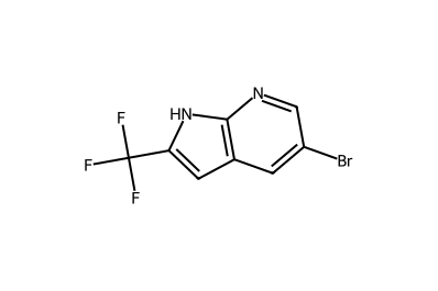 FC(F)(F)c1cc2cc(Br)cnc2[nH]1